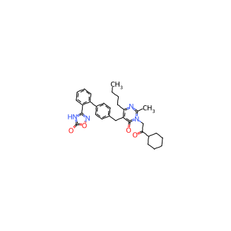 CCCCc1nc(C)n(CC(=O)C2CCCCC2)c(=O)c1Cc1ccc(-c2ccccc2-c2noc(=O)[nH]2)cc1